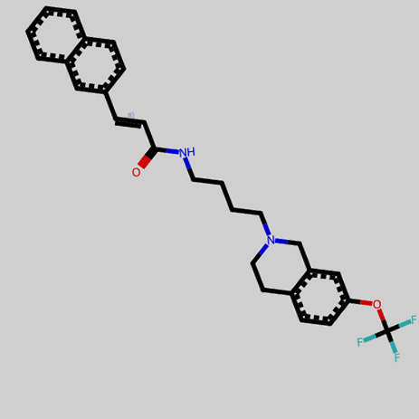 O=C(/C=C/c1ccc2ccccc2c1)NCCCCN1CCc2ccc(OC(F)(F)F)cc2C1